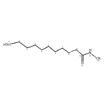 CCCCCCCCCCCCCCCCCC(=O)NC#N